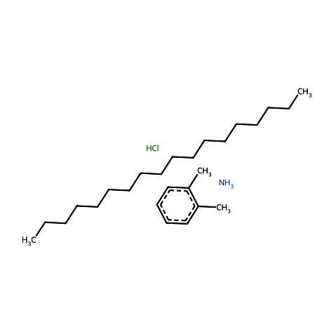 CCCCCCCCCCCCCCCCCC.Cc1ccccc1C.Cl.N